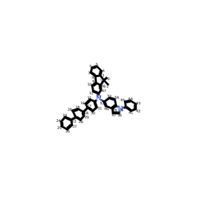 CC1(C)c2ccccc2-c2ccc(N(c3ccc(-c4ccc(-c5ccccc5)cc4)cc3)c3ccc4c(ccn4-c4ccccc4)c3)cc21